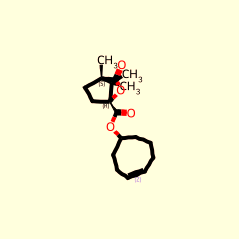 CC1(C)[C@@]2(C(=O)OC3CC/C=C\CCC3)CC[C@]1(C)C(=O)O2